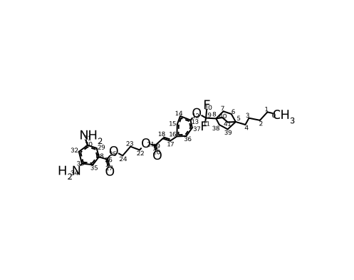 CCCCCC12CCC(C(F)(F)Oc3ccc(C=CC(=O)OCCCOC(=O)c4cc(N)cc(N)c4)cc3)(CC1)CC2